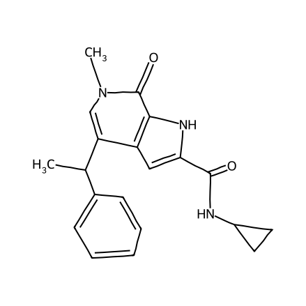 CC(c1ccccc1)c1cn(C)c(=O)c2[nH]c(C(=O)NC3CC3)cc12